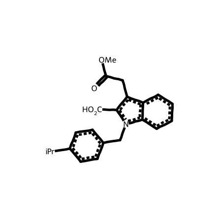 COC(=O)Cc1c(C(=O)O)n(Cc2ccc(C(C)C)cc2)c2ccccc12